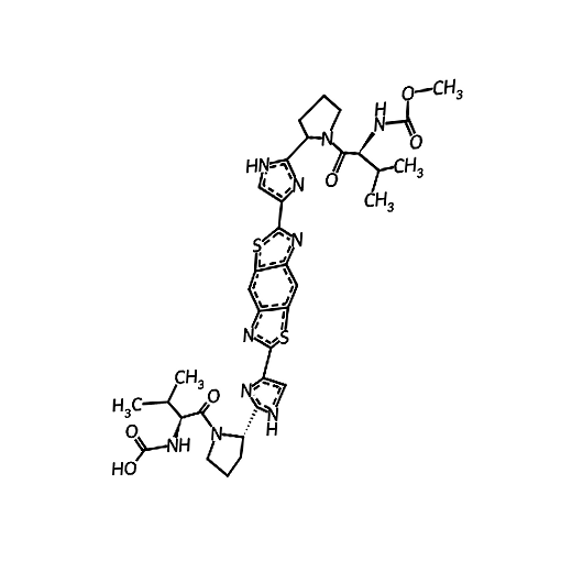 COC(=O)N[C@H](C(=O)N1CCCC1c1nc(-c2nc3cc4sc(-c5c[nH]c([C@@H]6CCCN6C(=O)[C@@H](NC(=O)O)C(C)C)n5)nc4cc3s2)c[nH]1)C(C)C